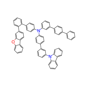 c1ccc(-c2ccc(-c3cccc(N(c4ccc(-c5cccc(-n6c7ccccc7c7ccccc76)c5)cc4)c4ccc(-c5ccccc5-c5ccc6c(c5)oc5ccccc56)cc4)c3)cc2)cc1